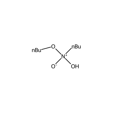 CCCCO[N+]([O-])(O)CCCC